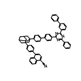 N#Cc1ccc(-c2ccc(C34CC5CC(CC(c6ccc(-c7ccc(-c8nc(-c9ccccc9)nc(-c9cccc(-c%10ccccc%10)c9)n8)cc7)cc6)(C5)C3)C4)cc2)c2ccccc12